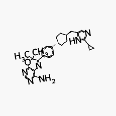 CC1(C)Oc2ncnc(N)c2N=C1c1ccc([C@H]2CC[C@H](Cc3cnc(C4CC4)[nH]3)CC2)cc1